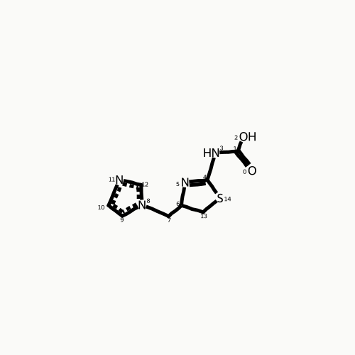 O=C(O)NC1=NC(Cn2ccnc2)CS1